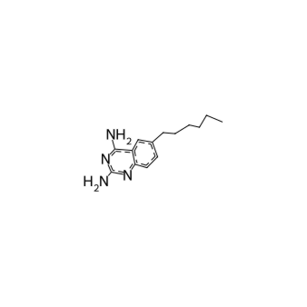 CCCCCCc1ccc2nc(N)nc(N)c2c1